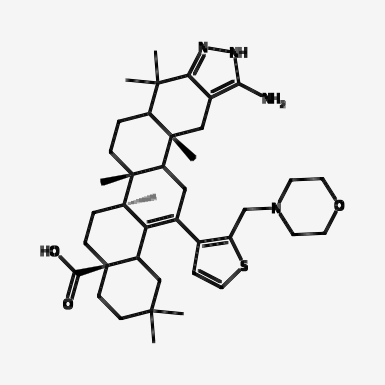 CC1(C)CC[C@]2(C(=O)O)CC[C@]3(C)C(=C(c4ccsc4CN4CCOCC4)CC4[C@@]5(C)Cc6c(n[nH]c6N)C(C)(C)C5CC[C@]43C)C2C1